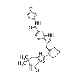 CC1(C)Cc2nc(N3CCOC[C@@H]3Cc3c[nH]c4cc(C(=O)Nc5cc[nH]n5)ccc34)sc2C(=O)N1